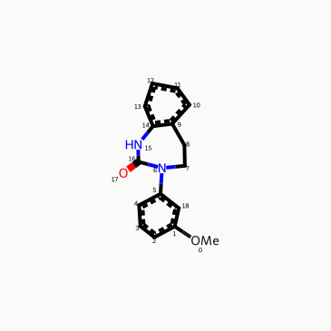 COc1cccc(N2CCc3ccccc3NC2=O)c1